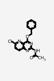 CC(=O)Nc1nc(OCc2ccccc2)c2nc(Cl)ccc2n1